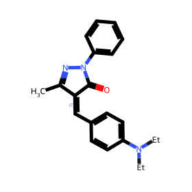 CCN(CC)c1ccc(/C=C2\C(=O)N(c3ccccc3)N=C2C)cc1